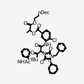 CC(=O)Nc1ccccc1.CCCCCCCCCCCCOC(=O)C(C)OC(=O)c1ccc(Cl)c(NC(=O)C(C(=O)C(C)(C)C)n2c(=O)n(Cc3ccccc3)n(-c3ccccc3)c2=O)c1